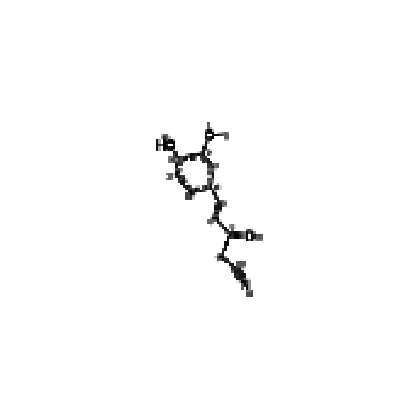 COc1cc(/C=C/C(=O)CC#N)ccc1O